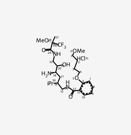 COCCCCOc1ccccc1C(=O)NCC(CC(N)C(O)CNC(=O)[C@](C)(OC)C(F)(F)F)C(C)C.Cl